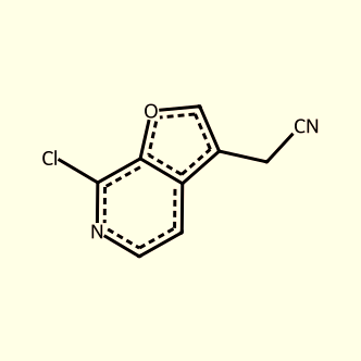 N#CCc1coc2c(Cl)nccc12